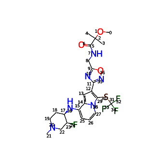 COC(C)(C)C(=O)NCc1nc(-c2cc3c(N[C@@H]4CCN(C)C[C@@H]4F)cccn3c2SC(F)(F)F)no1